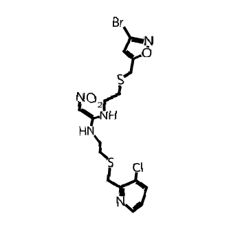 O=[N+]([O-])C=C(NCCSCc1cc(Br)no1)NCCSCc1ncccc1Cl